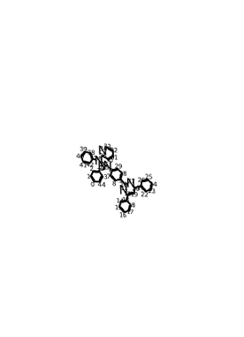 c1ccc(B2N(c3ccc(-c4nc(-c5ccccc5)cc(-c5ccccc5)n4)cc3)c3cccnc3N2c2ccccc2)cc1